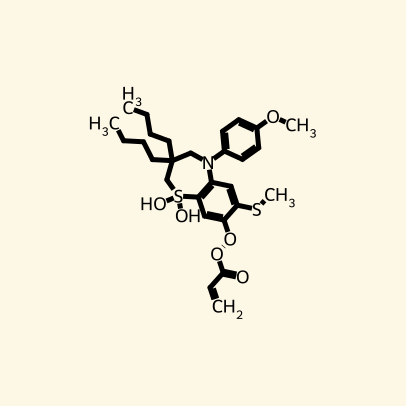 C=CC(=O)OOc1cc2c(cc1SC)N(c1ccc(OC)cc1)CC(CCCC)(CCCC)CS2(O)O